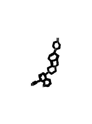 N#Cc1ccc(N2CCN3CC4=CC(N5CCNCC5)=CCC4=C3C2)c2cccnc12